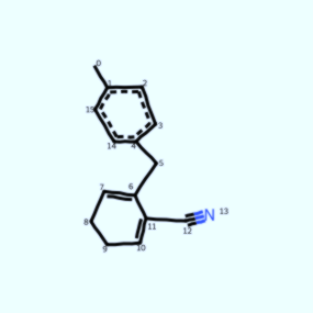 Cc1ccc(CC2=CCCC=C2C#N)cc1